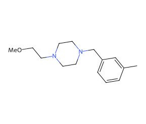 COCCN1CCN(Cc2cccc(C)c2)CC1